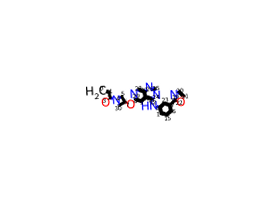 C=CC(=O)N1CC(Oc2cc3c(Nc4cccc(-c5ncco5)c4)ncnc3cn2)C1